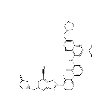 C=C1CCN(Cc2cc(C#N)c3oc(-c4cccc(-c5cccc(Nc6nc(C(F)F)nc7cc(CN8CCCC8)cnc67)c5C)c4C)nc3c2)C1